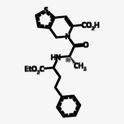 CCOC(=O)C(CCc1ccccc1)N[C@@H](C)C(=O)N1Cc2ccsc2C=C1C(=O)O